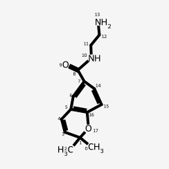 CC1(C)C=Cc2cc(C(=O)NCCN)ccc2O1